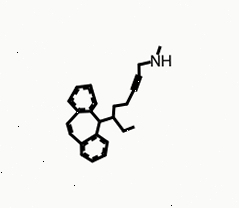 CCC(CCC#CCNC)C1c2ccccc2C=Cc2ccccc21